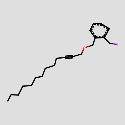 CCCCCCCCCCC#CCOCc1ccccc1CI